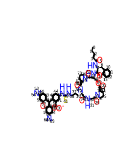 CC/C=C/C(=O)N[C@@H](Cc1ccccc1)C(=O)N[C@H]1COC(=O)[C@@H]2CCCN2C(=O)[C@H](C)NC(=O)[C@H](CCCNC(=S)Nc2ccc(-c3c4ccc(=[N+](C)C)cc-4oc4cc(N(C)C)ccc34)c(C(=O)[O-])c2)N(C)C(=O)[C@@H]2CCCN2C1=O